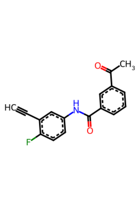 C#Cc1cc(NC(=O)c2cccc(C(C)=O)c2)ccc1F